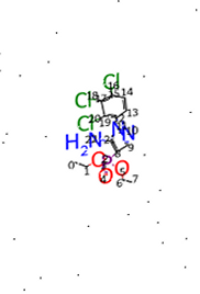 CCOP(=O)(OCC)c1cnn(-c2ccc(Cl)c(Cl)c2Cl)c1N